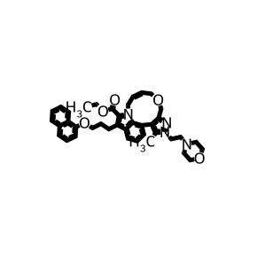 CCOC(=O)c1c(CCCOc2cccc3ccccc23)c2cccc3c2n1C/C=C\COCc1nn(CCN2CCOCC2)c(C)c1-3